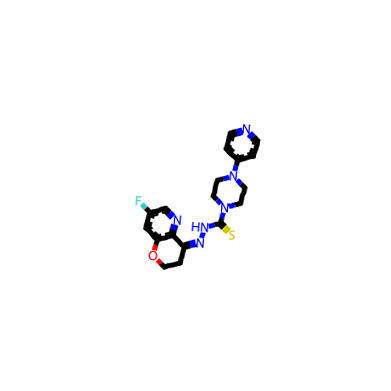 Fc1cnc2c(c1)OCC/C2=N/NC(=S)N1CCN(c2ccncc2)CC1